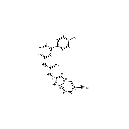 Cc1ccc(-c2cccc(NC(=O)Nc3nc4ccc(C#N)cc4s3)c2)cc1